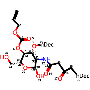 C=CCOC(=O)O[C@H]1[C@H](OCCCCCCCCCC)[C@@H](NC(=O)CC(=O)CCCCCCCCCCC)[C@@H](O)O[C@@H]1CO